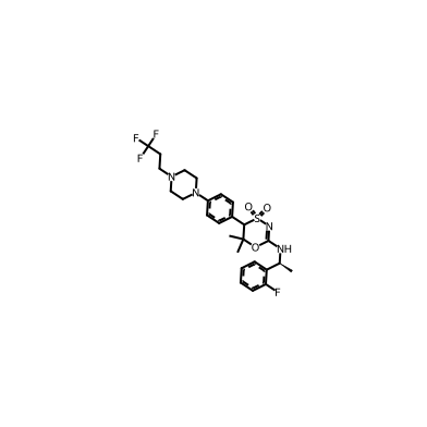 C[C@H](NC1=NS(=O)(=O)C(c2ccc(N3CCN(CCC(F)(F)F)CC3)cc2)C(C)(C)O1)c1ccccc1F